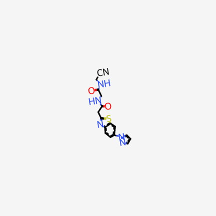 N#CCNC(=O)CNC(=O)Cc1nc2ccc(-n3cccn3)cc2s1